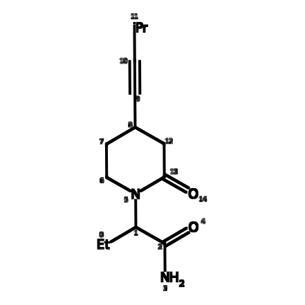 CCC(C(N)=O)N1CCC(C#CC(C)C)CC1=O